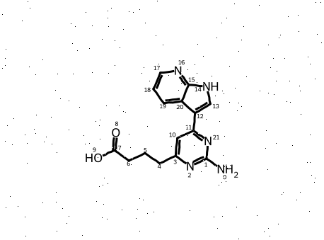 Nc1nc(CCCC(=O)O)cc(-c2c[nH]c3ncccc23)n1